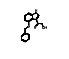 O=C(CO)c1c[nH]c2cccc(OCc3ccccc3)c12